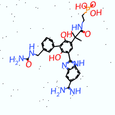 CC(C)(C(=O)NCCP(=O)(O)O)c1cc(-c2nc3cc(C(=N)N)ccc3[nH]2)c(O)c(-c2cccc(CNC(N)=O)c2)c1O